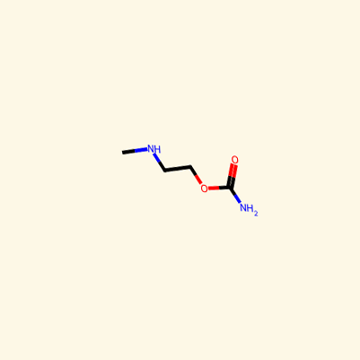 CNCCOC(N)=O